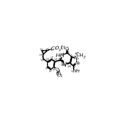 CCCc1nn(C)c2c(=O)[nH]c(-c3cc(CC4CC4C(=O)OCC)ccc3OCC)nc12